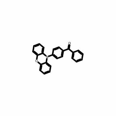 O=C(c1ccccc1)c1ccc(N2c3ccccc3Oc3ccccc32)cc1